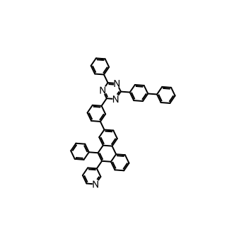 c1ccc(-c2ccc(-c3nc(-c4ccccc4)nc(-c4cccc(-c5ccc6c(c5)c(-c5ccccc5)c(-c5cccnc5)c5ccccc56)c4)n3)cc2)cc1